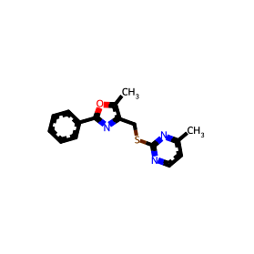 Cc1ccnc(SCc2nc(-c3ccccc3)oc2C)n1